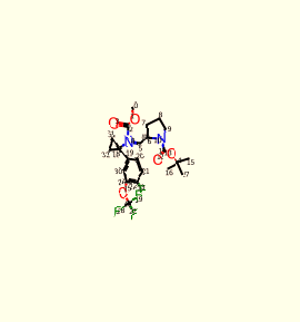 COC(=O)N(C[C@H]1CCCN1C(=O)OC(C)(C)C)C1(c2ccc(F)c(OC(F)(F)F)c2)CC1